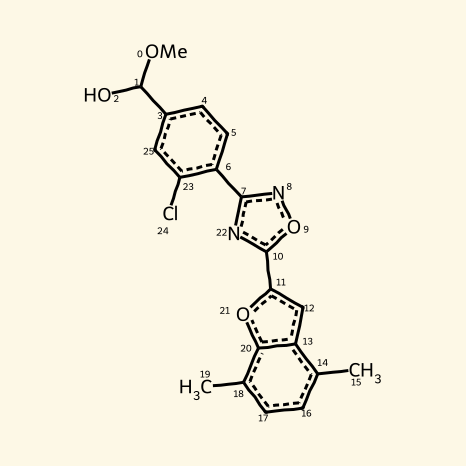 COC(O)c1ccc(-c2noc(-c3cc4c(C)ccc(C)c4o3)n2)c(Cl)c1